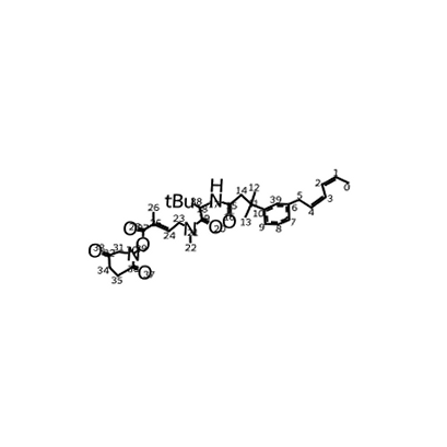 C/C=C\C=C/Cc1cccc(C(C)(C)CC(=O)NC(C(=O)N(C)C/C=C(\C)C(=O)ON2CC(=O)CCC2=O)C(C)(C)C)c1